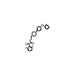 Cc1cccc(C)c1NC(=O)CCCN1CCC(c2ccc(Oc3ccccc3)cc2)CC1